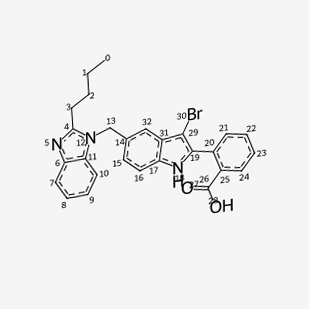 CCCCc1nc2ccccc2n1Cc1ccc2[nH]c(-c3ccccc3C(=O)O)c(Br)c2c1